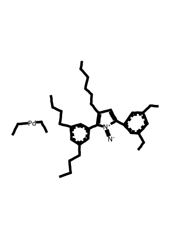 CCCCCCC1=C(c2cc(CCCC)cc(CCCC)c2)[N+](=[N-])C(c2cc(CC)cc(CC)c2)=C1.C[CH2][Pd][CH2]C